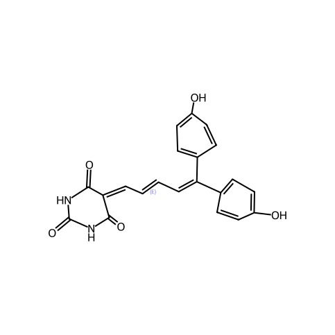 O=C1NC(=O)C(=C/C=C/C=C(c2ccc(O)cc2)c2ccc(O)cc2)C(=O)N1